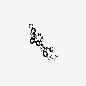 CC1(c2ccc(Cl)cn2)Oc2cccc(-c3ccn(Cc4nc5ccc(C(=O)O)cc5n4C[C@@H]4CCO4)c(=O)c3)c2O1